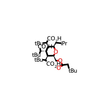 CC(C)C[C@H]1O[C@@H](COC(=O)CC(C)(C)C)[C@@H](C(C(=O)O)C(C)(C)C)[C@H](C(C(=O)O)C(C)(C)C)[C@H]1C(C(=O)O)C(C)(C)C